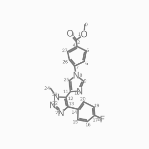 COC(=O)c1ccc(-n2cnc(-c3c(-c4ccc(F)cc4)nnn3C)c2)cc1